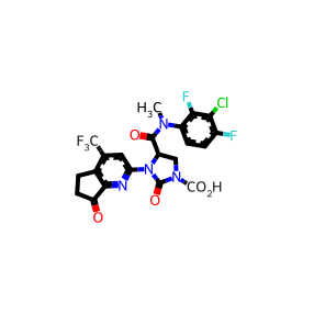 CN(C(=O)C1CN(C(=O)O)C(=O)N1c1cc(C(F)(F)F)c2c(n1)C(=O)CC2)c1ccc(F)c(Cl)c1F